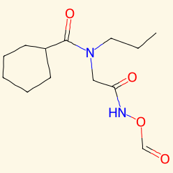 CCCN(CC(=O)NOC=O)C(=O)C1CCCCC1